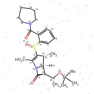 C[C@@H](O[Si](C)(C)C(C)(C)C)[C@H]1C(=O)N2C(C(=O)O)=C([S+]([O-])c3ccccc3C(=O)N3CCCCCC3)[C@H](C)[C@@H]12